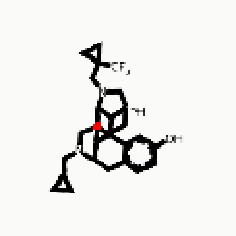 Oc1ccc2c(c1)C13CCN(CC4CC4)C(C2)C12CCC1C3[C@@H](CN1CC1(C(F)(F)F)CC1)C2